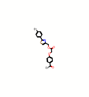 CCC(=O)c1ccc(OCC(=O)OCc2csc(-c3ccc(CC)cc3)n2)cc1